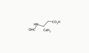 O=CNCCC(=O)O.[CaH2]